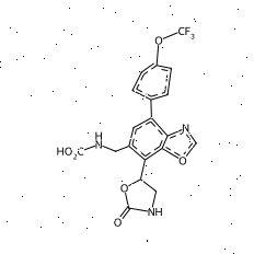 O=C(O)NCc1cc(-c2ccc(OC(F)(F)F)cc2)c2ncoc2c1C1CNC(=O)O1